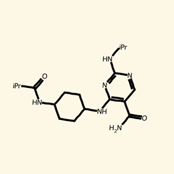 CC(C)Nc1ncc(C(N)=O)c(NC2CCC(NC(=O)C(C)C)CC2)n1